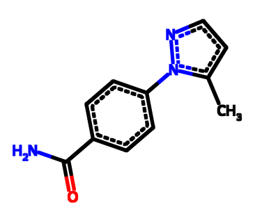 Cc1ccnn1-c1ccc(C(N)=O)cc1